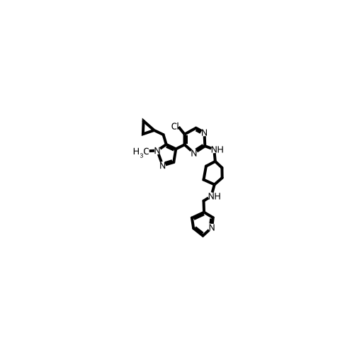 Cn1ncc(-c2nc(NC3CCC(NCc4cccnc4)CC3)ncc2Cl)c1CC1CC1